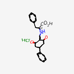 Cl.O=C1CC(c2ccccc2)CC(=O)C1=CN[C@@H](Cc1ccccc1)C(=O)O